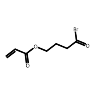 C=CC(=O)OCCCC(=O)Br